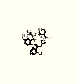 Cc1cncc2c1c(CC1CN([C@H](C)C3CCNCC3)C1)cn2-c1ccc(F)cc1C(=O)N(C)C(C)C